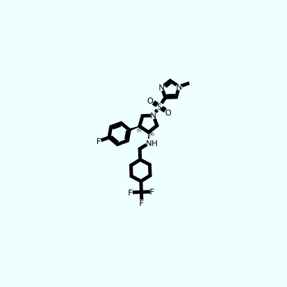 Cn1cnc(S(=O)(=O)N2C[C@H](NCC3CCC(C(F)(F)F)CC3)[C@@H](c3ccc(F)cc3)C2)c1